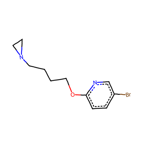 Brc1ccc(OCCCCN2CC2)nc1